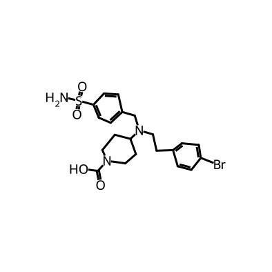 NS(=O)(=O)c1ccc(CN(CCc2ccc(Br)cc2)C2CCN(C(=O)O)CC2)cc1